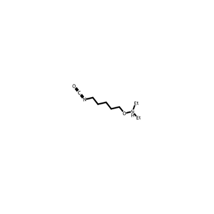 CC[SiH](CC)OCCCCCN=C=O